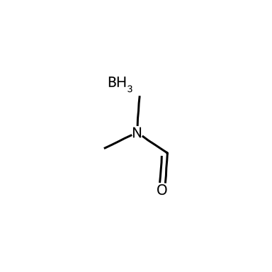 B.CN(C)C=O